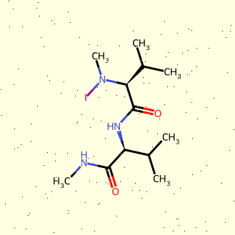 CNC(=O)[C@@H](NC(=O)[C@H](C(C)C)N(C)I)C(C)C